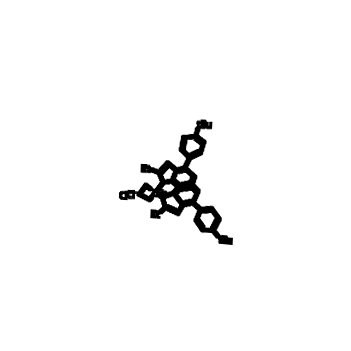 CCC1=Cc2c(-c3ccc(C(C)(C)C)cc3)cccc2[CH]1[Zr+2]1([CH]2C(CC)=Cc3c(-c4ccc(C(C)(C)C)cc4)cccc32)[CH2]C[CH2]1.[Cl-].[Cl-]